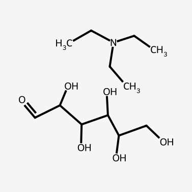 CCN(CC)CC.O=CC(O)C(O)C(O)C(O)CO